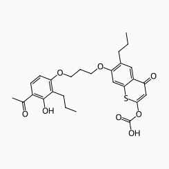 CCCc1cc2c(=O)cc(OC(=O)O)sc2cc1OCCCOc1ccc(C(C)=O)c(O)c1CCC